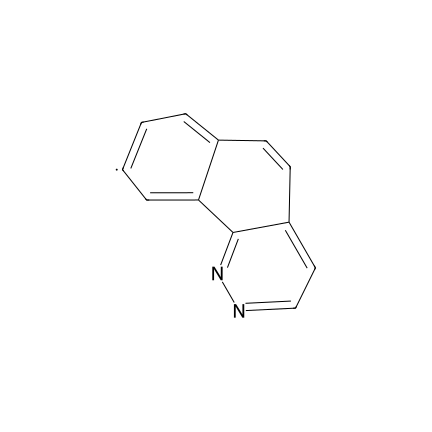 [c]1ccc2ccc3ccnnc3c2c1